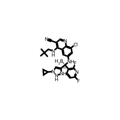 B[C@@](Nc1cc(Cl)c2ncc(C#N)c(NCC(C)(C)C)c2c1)(C1=CN(C2CC2)NN1)c1ccc(F)nc1F